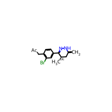 C=C1C[C@@H](C)C(c2ccc(CC(C)=O)c(Br)c2)=NN1